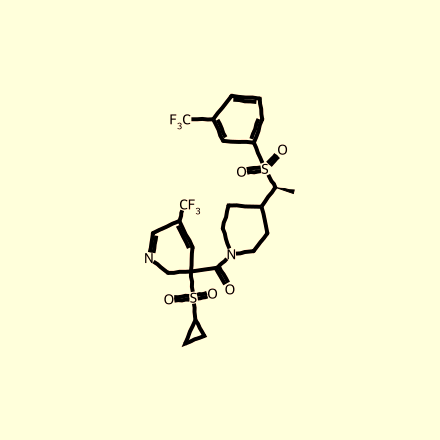 C[C@@H](C1CCN(C(=O)C2(S(=O)(=O)C3CC3)C=C(C(F)(F)F)C=NC2)CC1)S(=O)(=O)c1cccc(C(F)(F)F)c1